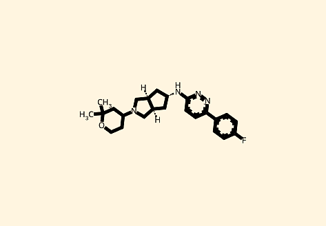 CC1(C)CC(N2C[C@H]3C[C@H](Nc4ccc(-c5ccc(F)cc5)nn4)C[C@H]3C2)CCO1